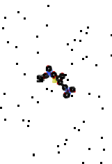 C[Si](C)(C)c1ccc(N(c2ccccc2)c2ccc3c(c2)sc2c4ccc(-c5ccc(N(c6ccccc6)c6ccccc6)cc5)cc4c4ccccc4c32)cc1